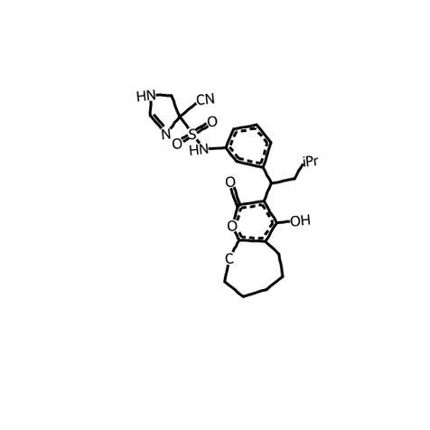 CC(C)CC(c1cccc(NS(=O)(=O)C2(C#N)CNC=N2)c1)c1c(O)c2c(oc1=O)CCCCCC2